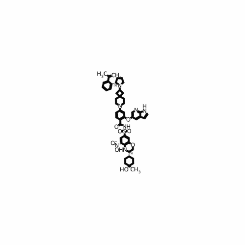 C=C(C)c1ccccc1[C@@H]1CCCN1C1CC2(CCN(c3ccc(C(=O)NS(=O)(=O)c4cc5c(c([N+](=O)[O-])c4)N[C@@H](C4CCC(C)(O)CC4)CO5)c(Oc4cnc5[nH]ccc5c4)c3)CC2)C1